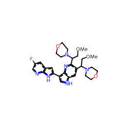 COCC(c1cc2[nH]cc(-c3cc4cc(F)cnc4[nH]3)c2nc1C(COC)N1CCOCC1)N1CCOCC1